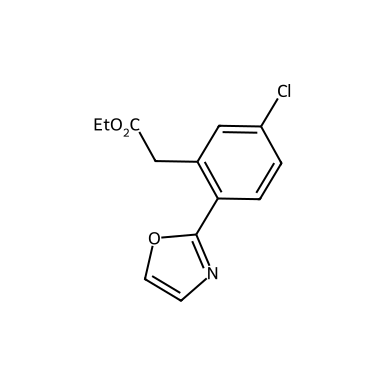 CCOC(=O)Cc1cc(Cl)ccc1-c1ncco1